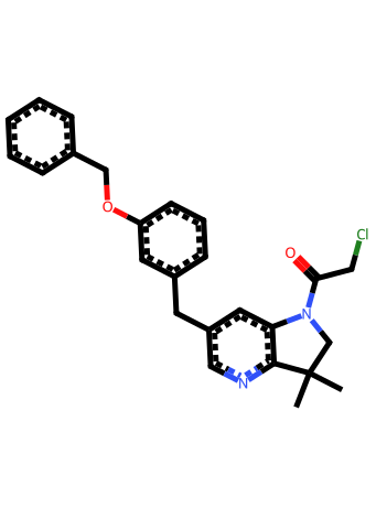 CC1(C)CN(C(=O)CCl)c2cc(Cc3cccc(OCc4ccccc4)c3)cnc21